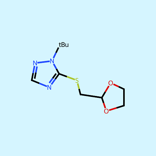 CC(C)(C)n1ncnc1SCC1OCCO1